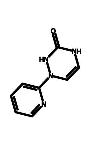 O=C1NC=CN(c2ccccn2)N1